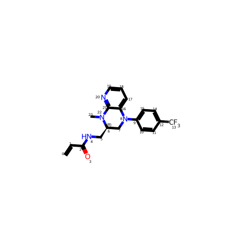 C=CC(=O)NC[C@@H]1CN(c2ccc(C(F)(F)F)cc2)c2cccnc2N1C